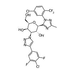 Cc1nc([C@@H]2O[C@H](CO)[C@H](O)[C@H](n3cc(-c4cc(F)c(Cl)c(F)c4)nn3)[C@H]2O)n(-c2cc(Cl)ccc2C(F)(F)F)n1